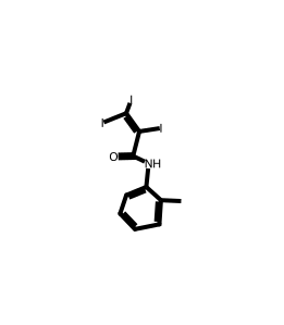 Cc1ccccc1NC(=O)C(I)=C(I)I